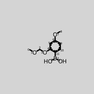 COCOc1cc(OC)ccc1B(O)O